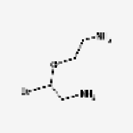 CCC(CN)OCCN